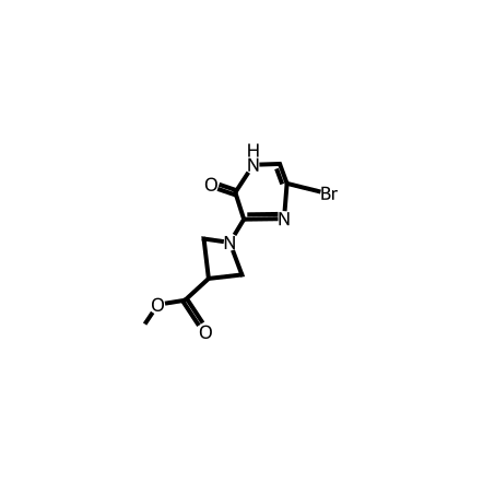 COC(=O)C1CN(c2nc(Br)c[nH]c2=O)C1